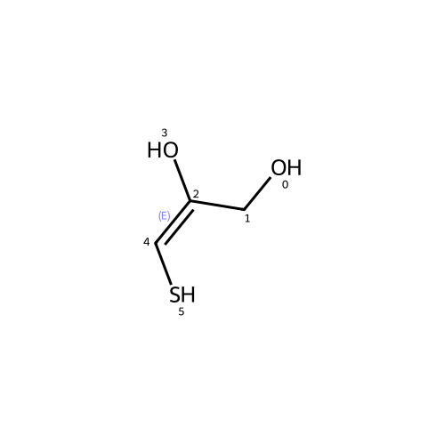 OC/C(O)=C\S